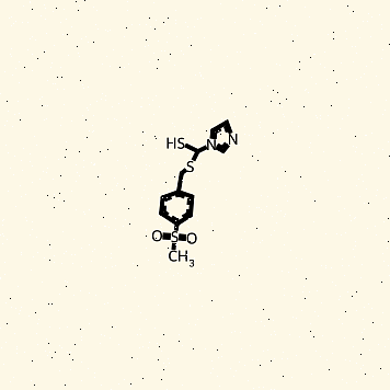 CS(=O)(=O)c1ccc(CSC(S)n2ccnc2)cc1